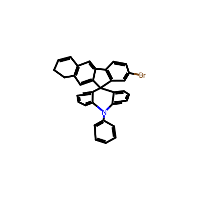 Brc1ccc2c(c1)C1(c3cc4c(cc3-2)C=CCC4)c2ccccc2N(c2ccccc2)c2ccccc21